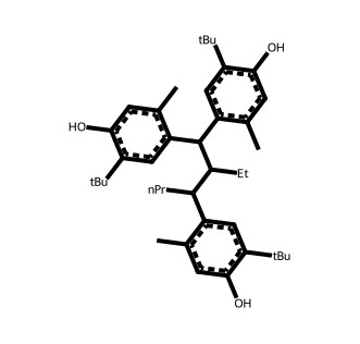 CCCC(c1cc(C(C)(C)C)c(O)cc1C)C(CC)C(c1cc(C(C)(C)C)c(O)cc1C)c1cc(C(C)(C)C)c(O)cc1C